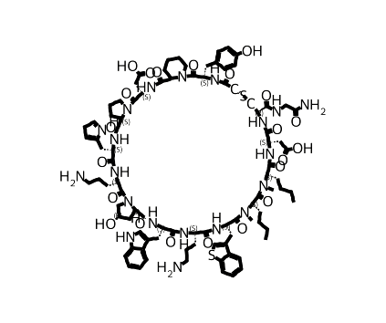 CCCC[C@H]1C(=O)N(C)[C@@H](CCCC)C(=O)N[C@@H](CC(=O)O)C(=O)N[C@H](C(=O)NCC(N)=O)CSCC(=O)N[C@@H](Cc2ccc(O)cc2)C(=O)N2CCCCC2C(=O)N[C@@H](CC(=O)O)C(=O)N2CCC[C@H]2C(=O)N[C@@H](CC2=CCC=N2)C(=O)N[C@@H](CCCN)C(=O)N2C[C@H](O)C[C@H]2C(=O)N[C@@H](Cc2c[nH]c3ccccc23)C(=O)N[C@@H](CCCN)C(=O)N[C@@H](Cc2csc3ccccc23)C(=O)N1C